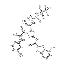 CC[C@@H]1C[C@]1(NC(=O)[C@@H]1C[C@@H](OC(=O)N2Cc3cccc(F)c3C2)CN1C(=O)[C@@H](Nc1cccc(C(F)(F)F)c1)C(C)(C)C)C(=O)NS(=O)(=O)C1(C)CC1